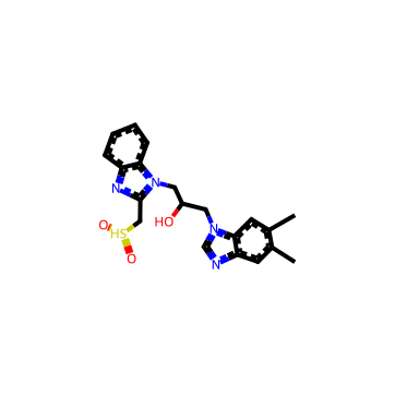 Cc1cc2ncn(CC(O)Cn3c(C[SH](=O)=O)nc4ccccc43)c2cc1C